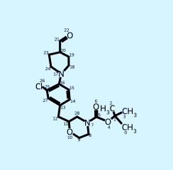 CC(C)(C)OC(=O)N1CCOC(Cc2ccc(N3CCC(C=O)CC3)c(Cl)c2)C1